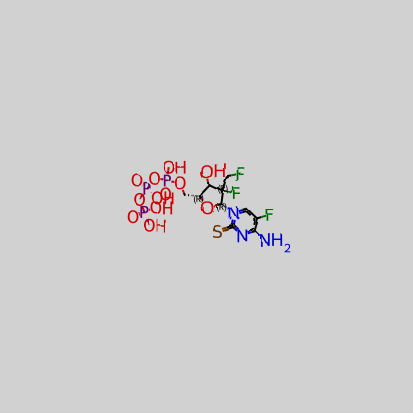 Nc1nc(=S)n([C@@H]2O[C@H](COP(=O)(O)OP(=O)(O)OP(=O)(O)O)C(O)[C@]2(F)CF)cc1F